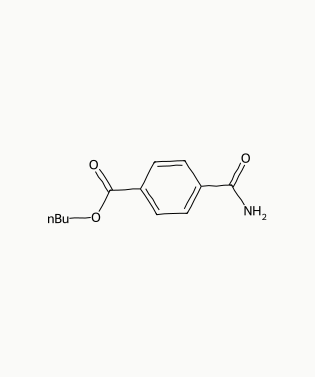 CCCCOC(=O)c1ccc(C(N)=O)cc1